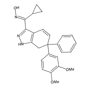 COc1ccc(C2(c3ccccc3)C=Cc3c(/C(=N/O)C4CC4)n[nH]c3C2)cc1OC